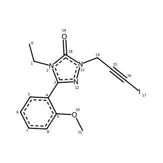 CCn1c(-c2ccccc2OC)nn(CC#CI)c1=O